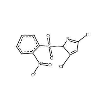 O=[N+]([O-])c1ccccc1S(=O)(=O)C1N=C(Cl)C=C1Cl